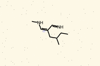 CCC(C)C/C(C=N)=C/NC